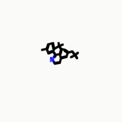 Cc1ccc2c(c1)-c1nccc3cc(CC(C)(C)C)cc(c13)C2(C)C